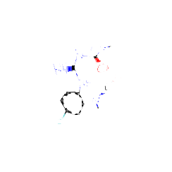 CN=C=O.CNC(=O)N(C)C(=N)Nc1ccc(F)cc1